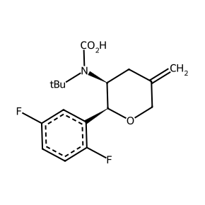 C=C1CO[C@@H](c2cc(F)ccc2F)[C@@H](N(C(=O)O)C(C)(C)C)C1